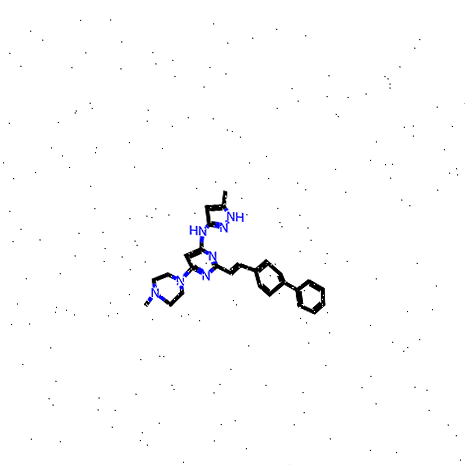 Cc1cc(Nc2cc(N3CCN(C)CC3)nc(/C=C/c3ccc(-c4ccccc4)cc3)n2)n[nH]1